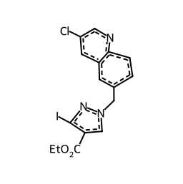 CCOC(=O)c1cn(Cc2ccc3ncc(Cl)cc3c2)nc1I